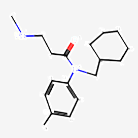 CNCCC(=O)N(CC1CCCCC1)c1ccc(C)cc1